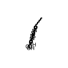 CCCCCCCCc1ccc(N=Nc2cc3sc(N=Nc4ccc(NCS(=O)(=O)O)cc4)nc3s2)cc1